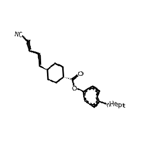 CCCCCCCc1ccc(OC(=O)[C@H]2CC[C@H](C=CC=CC#N)CC2)cc1